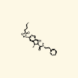 CCCCS(=O)(=O)Nc1ccc2[nH]c(C(=O)NCCc3ccccc3)c(C)c2c1